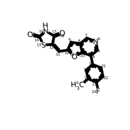 Cc1cc(-c2cncc3cc(C=C4SC(=O)NC4=O)oc23)ccc1F